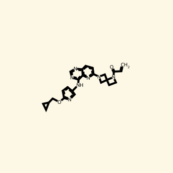 C=CC(=O)N1CCC12CN(c1ccc3ncnc(Nc4ccc(OCC5CC5)nc4)c3n1)C2